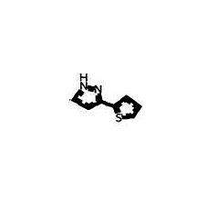 [c]1cc(-c2cccs2)n[nH]1